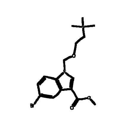 COC(=O)c1cn(COCCS(C)(C)C)c2ccc(Br)cc12